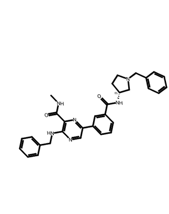 CNC(=O)c1nc(-c2cccc(C(=O)N[C@@H]3CCN(Cc4ccccc4)C3)c2)cnc1NCc1ccccc1